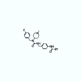 CC(C)C(=O)Nc1ccc(CNC(=O)N(Cc2ccc(F)cc2)C2CCN(C)CC2)cc1